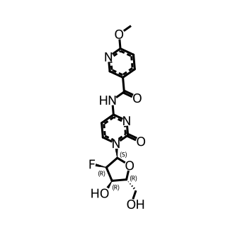 COc1ccc(C(=O)Nc2ccn([C@H]3O[C@H](CO)[C@@H](O)[C@H]3F)c(=O)n2)cn1